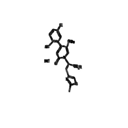 COc1cn(C(Cc2coc(C)n2)C(=O)O)c(=O)cc1-c1cc(Cl)ccc1C#N.Cl